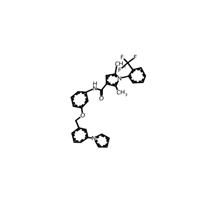 Cc1cc(C(=O)Nc2cccc(OCc3cccc(-n4cccc4)c3)c2)c(C)n1-c1ccccc1C(F)(F)F